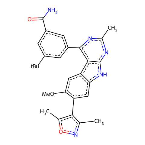 COc1cc2c(cc1-c1c(C)noc1C)[nH]c1nc(C)nc(-c3cc(C(N)=O)cc(C(C)(C)C)c3)c12